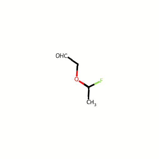 CC(F)OCC=O